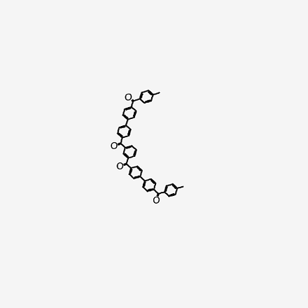 Cc1ccc(C(=O)c2ccc(-c3ccc(C(=O)c4cccc(C(=O)c5ccc(-c6ccc(C(=O)c7ccc(C)cc7)cc6)cc5)c4)cc3)cc2)cc1